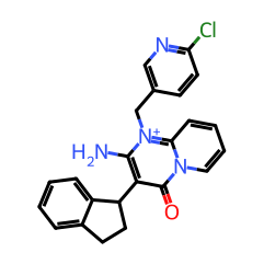 Nc1c(C2CCc3ccccc32)c(=O)n2ccccc2[n+]1Cc1ccc(Cl)nc1